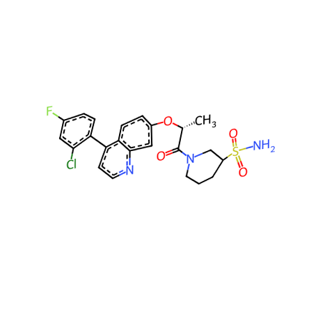 C[C@@H](Oc1ccc2c(-c3ccc(F)cc3Cl)ccnc2c1)C(=O)N1CCCC(S(N)(=O)=O)C1